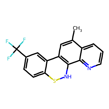 Cc1cc2c(c3ncccc13)NSc1ccc(C(F)(F)F)cc1-2